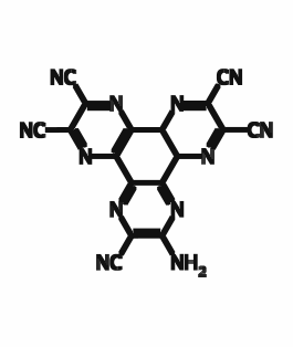 N#CC1=NC2c3nc(N)c(C#N)nc3-c3nc(C#N)c(C#N)nc3C2N=C1C#N